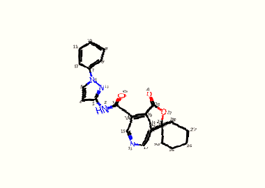 O=C(Nc1ccn(-c2ccccc2)n1)c1cncc2c1C(=O)OC21CCCCC1